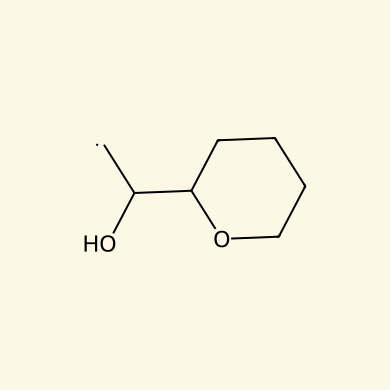 [CH2]C(O)C1CCCCO1